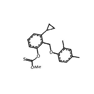 COC(=S)Oc1cccc(C2CC2)c1COc1ccc(C)cc1C